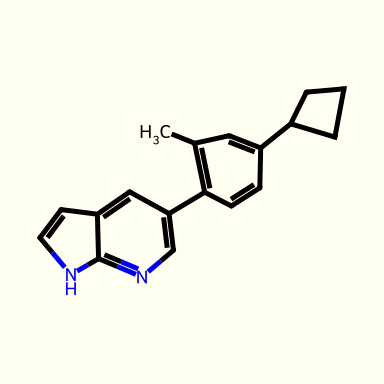 Cc1cc(C2CCC2)ccc1-c1cnc2[nH]ccc2c1